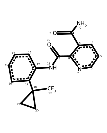 NC(=O)c1cccnc1C(=O)Nc1ccccc1C1(C(F)(F)F)CC1